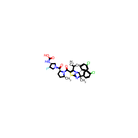 CC(C)C1=C(C(=O)N2[C@H](C)CC[C@H]2C(=O)N2C[C@@H](F)[C@H](NC(=O)O)C2)SC2=N[C@@](C)(c3ccc(Cl)cc3)[C@@H](c3ccc(Cl)cc3)N21